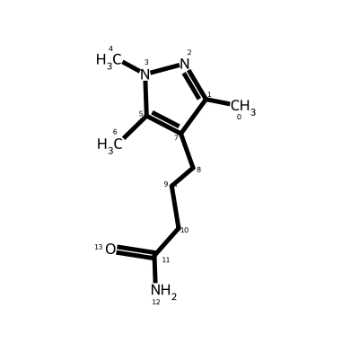 Cc1nn(C)c(C)c1C[CH]CC(N)=O